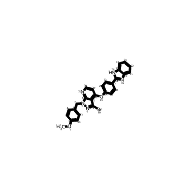 COc1ccc(Cn2nc(Br)c3c(Oc4ccc(-c5nc6ccccc6[nH]5)cc4)ccnc32)cc1